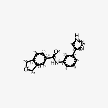 O=C(Nc1cccc(-c2c[nH]nn2)c1)c1ccc2c(c1)COC2